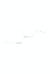 [CH2]CCCCCC(=O)CCCCCC